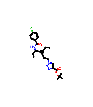 CCC(NC(=O)c1ccc(Cl)cc1)C1C(CC)C1CCn1cc(C(=O)OC(C)(C)C)nn1